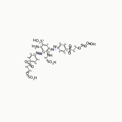 Nc1c(S(=O)(=O)O)cc(/N=N/c2ccc(S(=O)(=O)CCOSOOO)cc2)c(NCS(=O)(=O)O)c1/N=N/c1ccc(S(=O)(=O)CCOS(=O)(=O)O)cc1